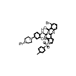 COc1cc(N2CCN(C(C)C)CC2)ccc1Nc1nc2c(ccn2S(=O)(=O)c2ccc(C)cc2)c2nc3cccc(Br)c3c(=O)n12